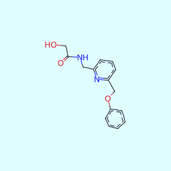 O=C(CO)NCc1cccc(COc2ccccc2)n1